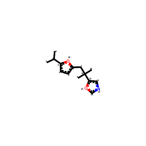 CC(C)c1ccc(CC(C)(C)c2cnco2)o1